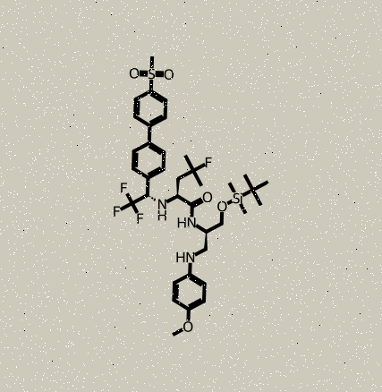 COc1ccc(NC[C@H](CO[Si](C)(C)C(C)(C)C)NC(=O)[C@H](CC(C)(C)F)N[C@@H](c2ccc(-c3ccc(S(C)(=O)=O)cc3)cc2)C(F)(F)F)cc1